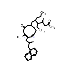 CCCC(CC1CC/C=C\C(CC(=O)Cc2cccc3ccccc23)=C(\C)CC(=O)C1)C(CC)C(=O)CC(C)=O